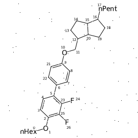 CCCCCCOc1ccc(-c2ccc(OCC3CCC4C(CCCCC)CCC34)cc2)c(F)c1F